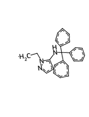 [CH2]Cn1nccc1NC(c1ccccc1)(c1ccccc1)c1ccccc1